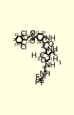 Cc1[nH]c(/C=C2\C(=O)Nc3ccc(S(=O)(=O)CCc4c(Cl)cccc4Cl)cc32)c(C)c1CC(=O)NCCNCC(F)(F)F